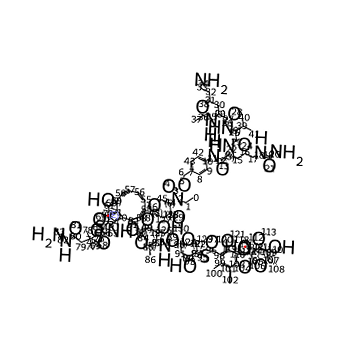 CCN(C(=O)OCc1ccc(NC(=O)[C@H](CCCNC(N)=O)NC(=O)[C@@H](NC(=O)[C@H](CCCCN)NC(C)=O)C(C)C)cc1)[C@H]1CO[C@@H](O[C@H]2[C@H](O[C@H]3C#CC=CC#C[C@]4(O)CC(=O)C(NC(=O)OC)=C3/C4=C\CSSC(C)(C)CC(=O)NN)O[C@H](C)[C@@H](NO[C@H]3C[C@H](O)[C@H](SC(=O)c4c(C)c(I)c(O[C@@H]5O[C@@H](C)[C@H](O)[C@@H](OC)[C@H]5O)c(OC)c4OC)[C@@H](C)O3)[C@@H]2O)C[C@@H]1OC